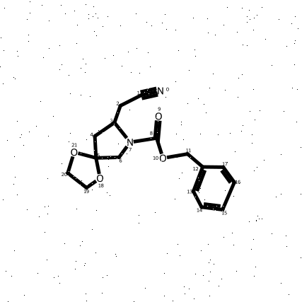 N#CCC1CC2(CN1C(=O)OCc1ccccc1)OCCO2